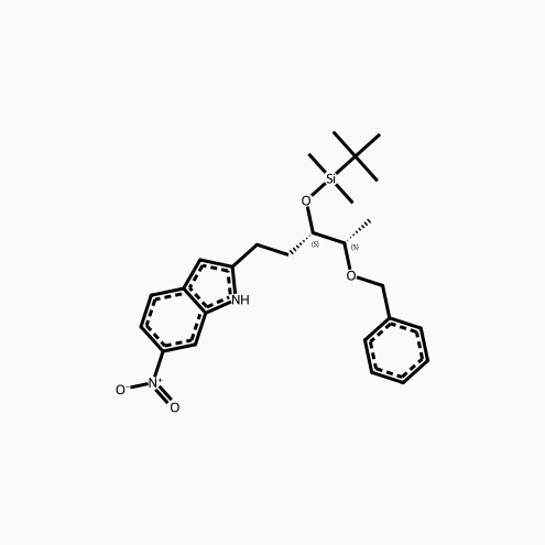 C[C@H](OCc1ccccc1)[C@H](CCc1cc2ccc([N+](=O)[O-])cc2[nH]1)O[Si](C)(C)C(C)(C)C